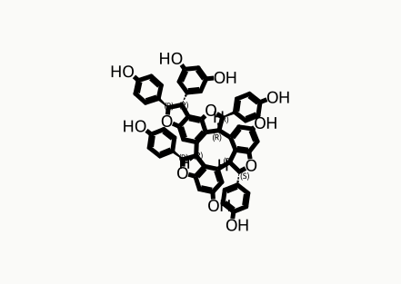 Oc1ccc([C@H]2Oc3cc(O)cc4c3[C@H]2c2cc(O)cc3c2[C@@H](c2cc5c(c6c2[C@@H]4[C@H](c2ccc(O)cc2)O6)[C@@H](c2cc(O)cc(O)c2)[C@H](c2ccc(O)cc2)O5)[C@H](c2ccc(O)cc2)O3)cc1